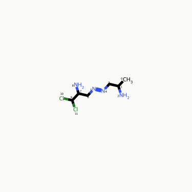 CC(N)CN=NCC(N)C(Cl)Cl